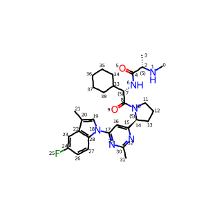 CN[C@@H](C)C(=O)N[C@H](C(=O)N1CCC[C@H]1c1cc(-n2cc(C)c3cc(F)ccc32)nc(C)n1)C1CCCCC1